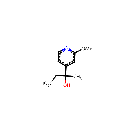 COc1cc(C(C)(O)CC(=O)O)ccn1